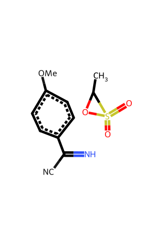 CC1OS1(=O)=O.COc1ccc(C(=N)C#N)cc1